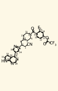 N#CCC(CN1CCN(C(=O)c2ccc(OC(=O)C(F)(F)F)cc2F)CC1)n1cc(-c2ncnc3[nH]ccc23)cn1